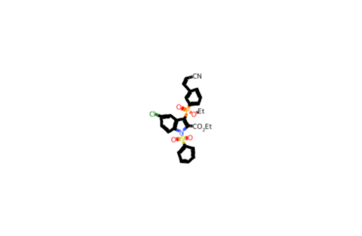 CCOC(=O)c1c(P(=O)(OCC)c2cccc(/C=C\C#N)c2)c2cc(Cl)ccc2n1S(=O)(=O)c1ccccc1